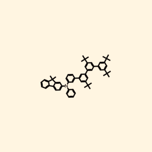 CC(C)(C)c1cc(-c2cccc(N(c3ccccc3)c3ccc4c(c3)C(C)(C)c3ccccc3-4)c2)cc(-c2cc(-c3cc(C(C)(C)C)cc(C(C)(C)C)c3)cc(C(C)(C)C)c2)c1